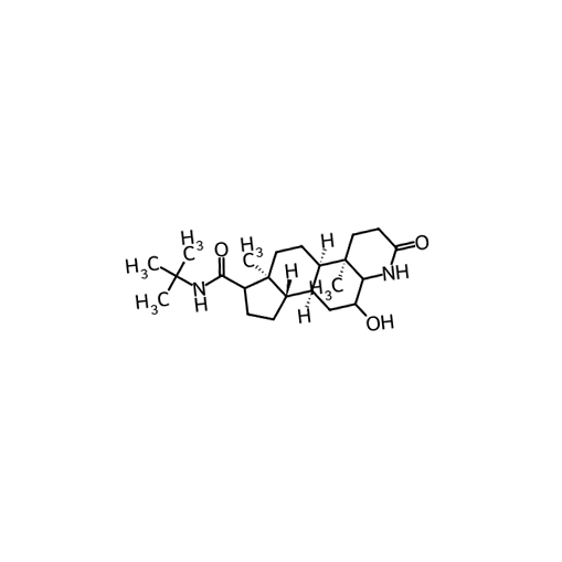 CC(C)(C)NC(=O)C1CC[C@H]2[C@@H]3CC(O)C4NC(=O)CC[C@]4(C)[C@@H]3CC[C@]12C